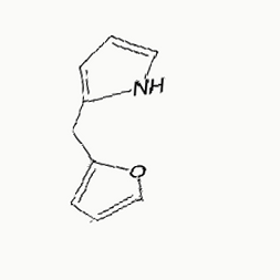 [c]1coc(Cc2ccc[nH]2)c1